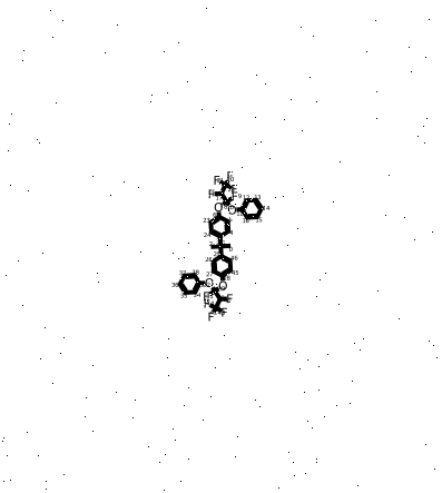 CC(C)(c1ccc(OC(F)(Oc2ccccc2)C(F)C(F)(F)F)cc1)c1ccc(OC(F)(Oc2ccccc2)C(F)C(F)(F)F)cc1